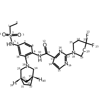 CCS(=O)(=O)Nc1ccc(NC(=O)c2ccnc(N3CCC(F)(F)CC3)n2)c(N2C[C@H]3CC[C@@H](C2)C32CC2)c1